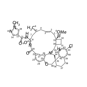 CO[C@H]1/C=C/C[C@H](C)CS(=O)(NC(=O)c2cnn(C)c2)=NC(=O)c2ccc3c(c2)N(C[C@@H]2CC[C@H]21)C[C@@]1(CCCc2cc(Cl)ccc21)CO3